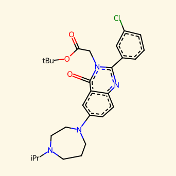 CC(C)N1CCCN(c2ccc3nc(-c4cccc(Cl)c4)n(CC(=O)OC(C)(C)C)c(=O)c3c2)CC1